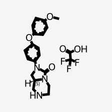 COc1ccc(Oc2ccc(N3C[C@@H]4CNCCN4C3=O)cc2)cc1.O=C(O)C(F)(F)F